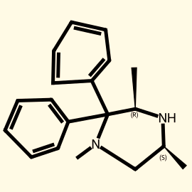 C[C@H]1CN(C)C(c2ccccc2)(c2ccccc2)[C@@H](C)N1